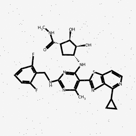 CNC(=O)[C@H]1C[C@@H](Nc2nc(NCc3c(F)cccc3F)nc(C)c2-c2nc3c(C4CC4)nccc3s2)[C@H](O)[C@@H]1O